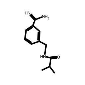 CC(C)C(=O)NCc1cccc(C(=N)N)c1